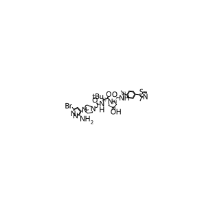 Cc1ncsc1-c1ccc([C@H](C)NC(=O)[C@@H]2C[C@@H](O)CN2C(=O)[C@@H](NC(=O)CN2CCN(c3cc(Br)nnc3N)CC2)C(C)(C)C)cc1